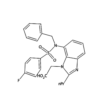 CCCc1nc2cccc(N(Cc3ccccc3)S(=O)(=O)c3ccc(F)cc3)c2n1CC(=O)O